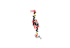 COCSCCCC(=O)O[C@H]1COC2C1OC[C@H]2OC(=O)CCCSCCO